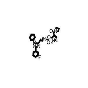 Cn1ncc(C(=O)N2CCC2)c1OC(=O)NCCc1nc(-c2cccc(F)c2)nn1-c1ccccc1